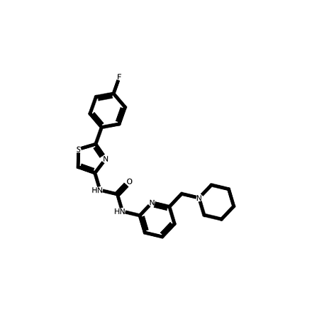 O=C(Nc1cccc(CN2CCCCC2)n1)Nc1csc(-c2ccc(F)cc2)n1